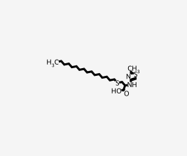 CCCCCCCCCCCCCCCCSCC(Nc1csc(C)n1)C(=O)O